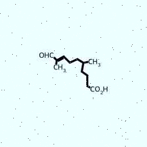 CC(C=O)=CCCC(C)CCCC(=O)O